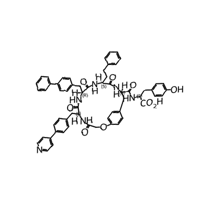 O=C1COc2ccc(cc2)C[C@@H](C(=O)N[C@@H](Cc2ccc(O)cc2)C(=O)O)NC(=O)[C@H](CCc2ccccc2)NC(=O)[C@@H](Cc2ccc(-c3ccccc3)cc2)NC(=O)[C@H](Cc2ccc(-c3ccncc3)cc2)N1